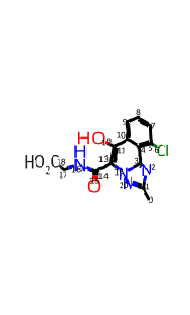 Cc1nc2c3c(Cl)cccc3c(O)c(C(=O)NCC(=O)O)n2n1